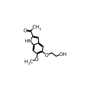 COc1cc2[nH]c(C(C)=O)cc2cc1OCCO